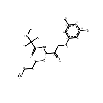 COC(C)(C)C(=O)N[C@@H](CCCCN)C(=O)COc1cc(C)nc(C)c1